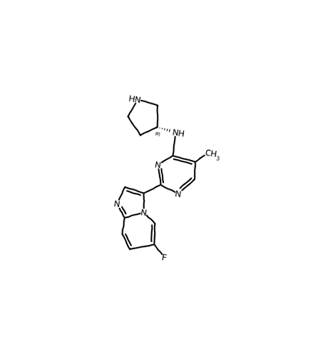 Cc1cnc(-c2cnc3ccc(F)cn23)nc1N[C@@H]1CCNC1